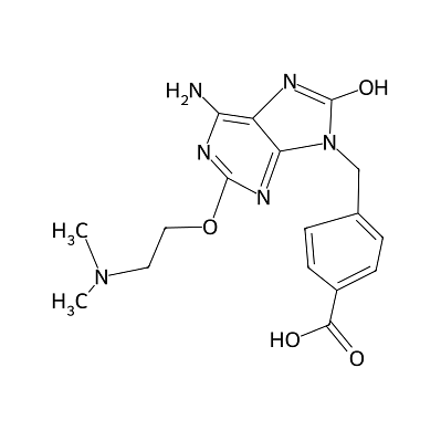 CN(C)CCOc1nc(N)c2nc(O)n(Cc3ccc(C(=O)O)cc3)c2n1